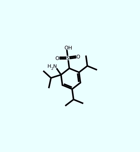 CC(C)C1=CC(N)(C(C)C)C(S(=O)(=O)O)C(C(C)C)=C1